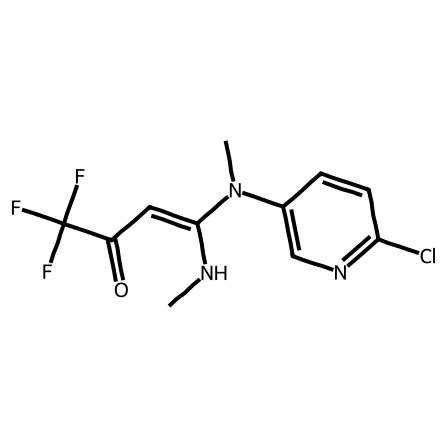 CN/C(=C\C(=O)C(F)(F)F)N(C)c1ccc(Cl)nc1